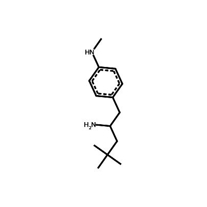 CNc1ccc(CC(N)CC(C)(C)C)cc1